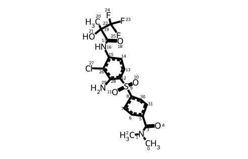 CN(C)C(=O)c1ccc(S(=O)(=O)c2ccc(NC(=O)C(C)(O)C(F)(F)F)c(Cl)c2N)cc1